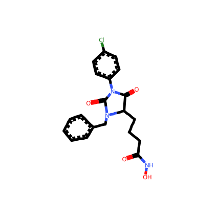 O=C(CCCC1C(=O)N(c2ccc(Cl)cc2)C(=O)N1Cc1ccccc1)NO